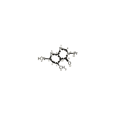 Cc1cc(N)nc2ncn(C(C)C)c(=O)c12